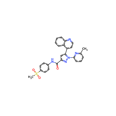 Cc1cccc(-n2nc(C(=O)Nc3ccc(S(C)(=O)=O)cc3)cc2-c2ccnc3ccccc23)n1